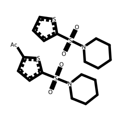 CC(=O)c1ccc(S(=O)(=O)N2CCCCC2)s1.O=S(=O)(c1cccs1)N1CCCCC1